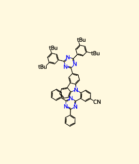 CC(C)(C)c1cc(-c2nc(-c3cc(C(C)(C)C)cc(C(C)(C)C)c3)nc(-c3ccc4c(c3)c3ccccc3n4-c3ccc(C#N)cc3-c3nc(-c4ccccc4)nc(-c4ccccc4)n3)n2)cc(C(C)(C)C)c1